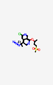 CCC(C)(N=[N+]=[N-])c1cnc(OC(C)CCS(C)(=O)=O)c2cnc(Cl)cc12